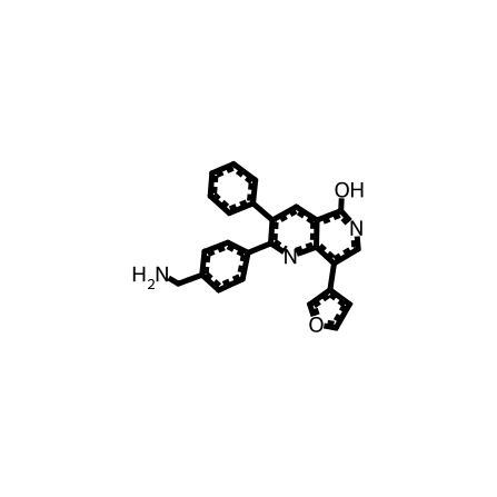 NCc1ccc(-c2nc3c(-c4ccoc4)cnc(O)c3cc2-c2ccccc2)cc1